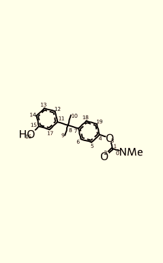 CNC(=O)Oc1ccc(C(C)(C)c2cccc(O)c2)cc1